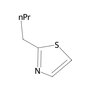 CCCCc1nccs1